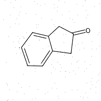 O=C1Cc2c[c]ccc2C1